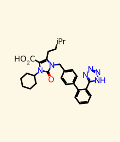 CC(C)CCc1c(C(=O)O)n(C2CCCCC2)c(=O)n1Cc1ccc(-c2ccccc2-c2nnn[nH]2)cc1